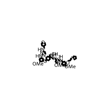 COc1cc(NCC2N(C)CC23CCC(Oc2cc(Nc4nccc(NCC5CCOCC5)n4)ccc2OC)CC3)nc(Nc2ccc(OC)c(OCCCN3CCCC3)c2)n1